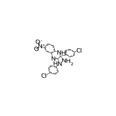 NC1(c2ccc(Cl)cc2)Nc2ccc([N+](=O)[O-])cc2N=C1Nc1ccc(Cl)cc1